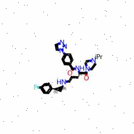 CC(C)N1CCN(C(=O)[C@H](CCCN[C@@H]2C[C@H]2c2ccc(F)cc2)NC(=O)c2ccc(-n3ccnn3)cc2)CC1